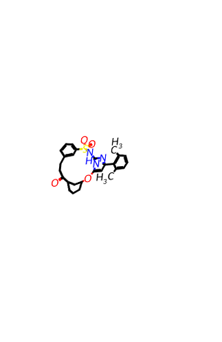 Cc1cccc(C)c1-c1cc2nc(n1)NS(=O)(=O)c1cccc(c1)CCC(=O)C1CCCC(C1)O2